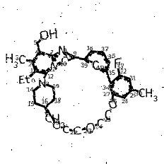 CCc1c(C)c(CO)c2nc3cn2c1N1CCC(C)(CC1)OCCOCCOc1cc(C)cc(F)c1-c1cccc-3c1